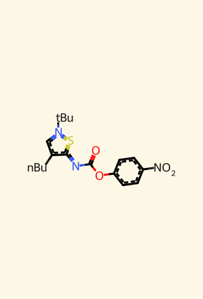 CCCCc1cn(C(C)(C)C)s/c1=N\C(=O)Oc1ccc([N+](=O)[O-])cc1